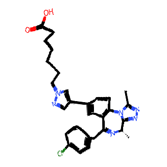 Cc1nnc2n1-c1ccc(-c3cnn(CCCCCCC(=O)O)c3)cc1C(c1ccc(Cl)cc1)=N[C@H]2C